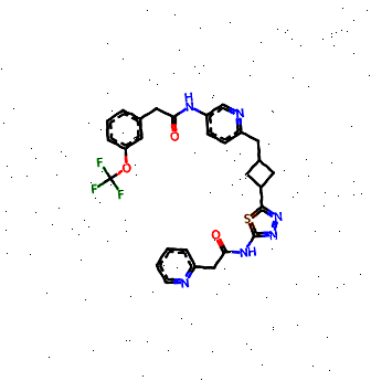 O=C(Cc1cccc(OC(F)(F)F)c1)Nc1ccc(CC2CC(c3nnc(NC(=O)Cc4ccccn4)s3)C2)nc1